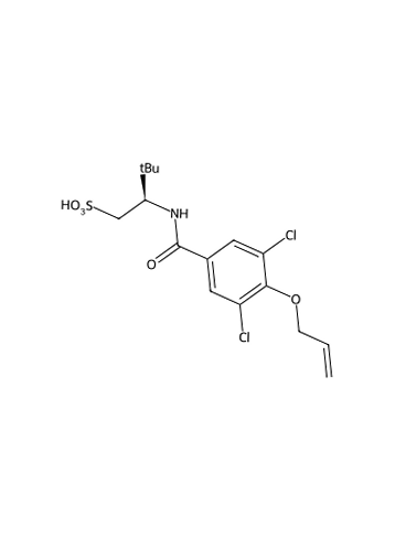 C=CCOc1c(Cl)cc(C(=O)N[C@@H](CS(=O)(=O)O)C(C)(C)C)cc1Cl